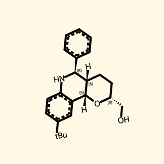 CC(C)(C)c1ccc2c(c1)[C@H]1O[C@@H](CO)CC[C@H]1[C@H](c1ccccc1)N2